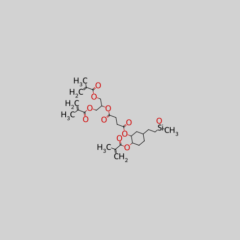 C=C(C)C(=O)OCC(COC(=O)C(=C)C)OC(=O)CCC(=O)OC1CC(CC[Si](C)=O)CCC1OC(=O)C(=C)C